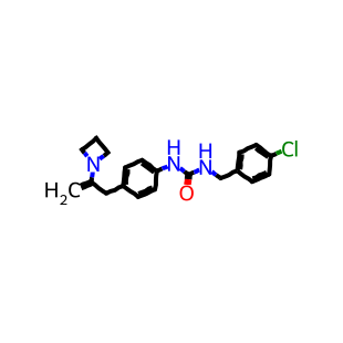 C=C(Cc1ccc(NC(=O)NCc2ccc(Cl)cc2)cc1)N1CCC1